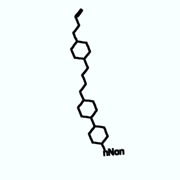 C=CCCC1CCC(CCCCC2CCC(C3CCC(CCCCCCCCC)CC3)CC2)CC1